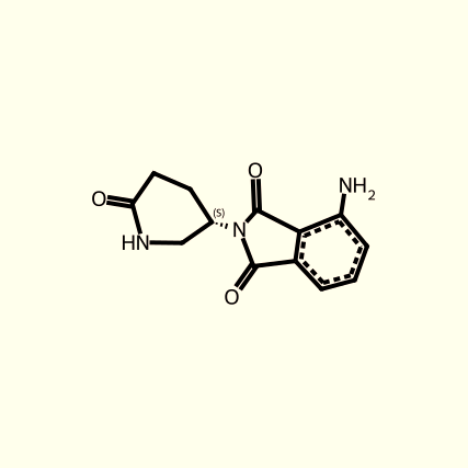 Nc1cccc2c1C(=O)N([C@H]1CCC(=O)NC1)C2=O